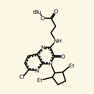 CCC1CCC(CC)C1n1c(=O)c(NCCC(=O)OC(C)(C)C)nc2ccc(Cl)nc21